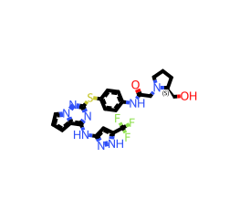 O=C(CN1CCC[C@H]1CO)Nc1ccc(Sc2nc(Nc3cc(C(F)(F)F)[nH]n3)c3cccn3n2)cc1